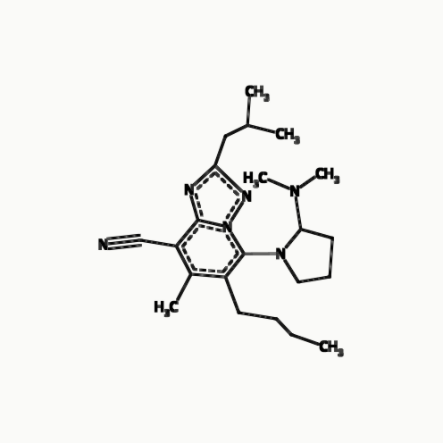 CCCCc1c(C)c(C#N)c2nc(CC(C)C)nn2c1N1CCCC1N(C)C